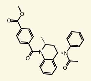 COC(=O)c1ccc(C(=O)N2c3ccccc3[C@@H](N(C(C)=O)c3ccccc3)C[C@H]2C)cc1